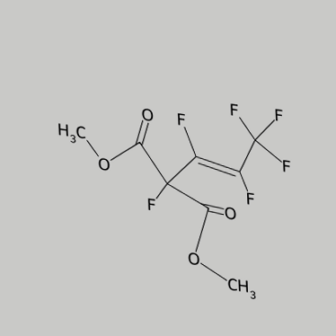 COC(=O)C(F)(C(=O)OC)/C(F)=C(\F)C(F)(F)F